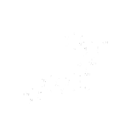 Cc1cc(NC(=O)Nc2ccc(Oc3ccnc(-c4cn[nH]c4)c3)cc2F)cc(N2CCOCC2)c1